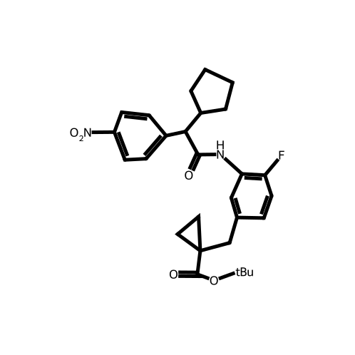 CC(C)(C)OC(=O)C1(Cc2ccc(F)c(NC(=O)C(c3ccc([N+](=O)[O-])cc3)C3CCCC3)c2)CC1